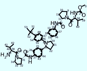 COC(=O)N[C@H](C(=O)N1CCC[C@H]1C(=O)Nc1ccc([C@@H]2CC[C@@H](c3ccc(NC(=O)[C@@H]4CCCN4C(=O)[C@@H](N)C(C)C)cc3)N2c2ccc(C(C)(C)C)cc2)cc1)C(C)C